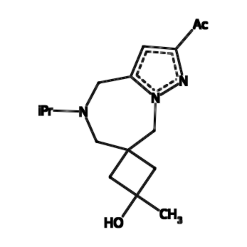 CC(=O)c1cc2n(n1)CC1(CN(C(C)C)C2)CC(C)(O)C1